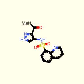 CNC(=O)c1n[nH]cc1NS(=O)(=O)c1cccc2cccnc12